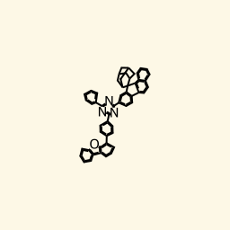 c1ccc(-c2nc(-c3ccc(-c4cccc5c4oc4ccccc45)cc3)nc(-c3ccc4c(c3)C3(c5c-4ccc4ccccc54)C4CC5CC(C4)CC3C5)n2)cc1